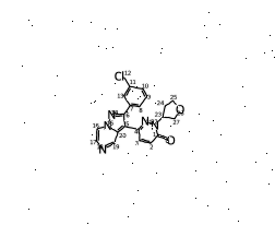 O=c1ccc(-c2c(-c3cccc(Cl)c3)nn3ccncc23)nn1C1CCOC1